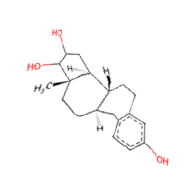 C[C@]12CC[C@@H]3c4ccc(O)cc4CC[C@H]3[C@@H]1CC(O)C2O